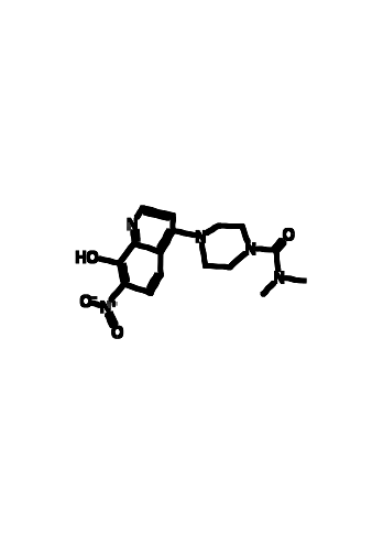 CN(C)C(=O)N1CCN(c2ccnc3c(O)c([N+](=O)[O-])ccc23)CC1